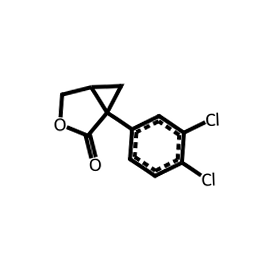 O=C1OCC2CC12c1ccc(Cl)c(Cl)c1